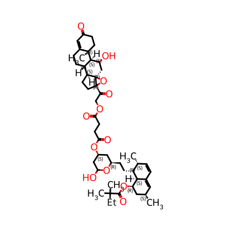 CCC(C)(C)C(=O)O[C@@H]1C[C@H](C)C=C2C=C[C@@H](C)[C@@H](CC[C@@H]3C[C@H](OC(=O)CCC(=O)OCC(=O)[C@@]45CC[C@H]6[C@@H]7CCC8=CC(=O)CC[C@]8(C)[C@H]7[C@@H](O)C[C@@]64O5)CC(O)O3)[C@@H]21